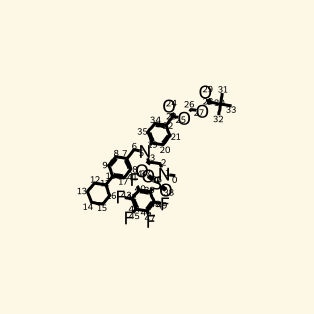 CN(CC(=O)N(Cc1ccc(C2CCCCC2)cc1)c1ccc(C(=O)OCOC(=O)C(C)(C)C)cc1)S(=O)(=O)c1c(F)c(F)c(F)c(F)c1F